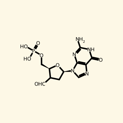 Nc1nc2c(ncn2[C@H]2CC(C=O)[C@@H](COP(=O)(O)O)O2)c(=O)[nH]1